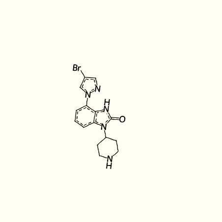 O=c1[nH]c2c(-n3cc(Br)cn3)cccc2n1C1CCNCC1